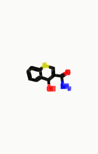 NC(=O)C1=CSc2ccccc2C1O